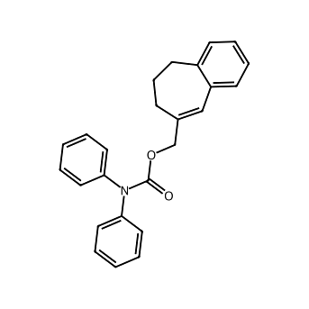 O=C(OCC1=Cc2ccccc2CCC1)N(c1ccccc1)c1ccccc1